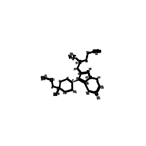 CCOC[C@]1(CC)CC[C@H](c2c(CN(C)CCNC)nn3c2COCC3)CC1